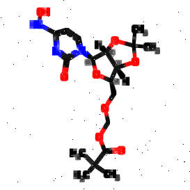 CC1(C)O[C@@H]2[C@H](O1)[C@@H](COCOC(=O)C(C)(C)C)O[C@H]2n1ccc(NO)nc1=O